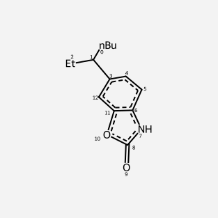 CCCCC(CC)c1ccc2[nH]c(=O)oc2c1